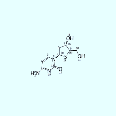 Nc1ccn([C@H]2C[C@@H](O)[C@@H](CO)S2)c(=O)n1